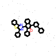 c1ccc(-c2cccc(-c3c4ccccc4c(-c4nc(-c5ccccc5)c5sc6ccccc6c5n4)c4c3oc3ccccc34)c2)cc1